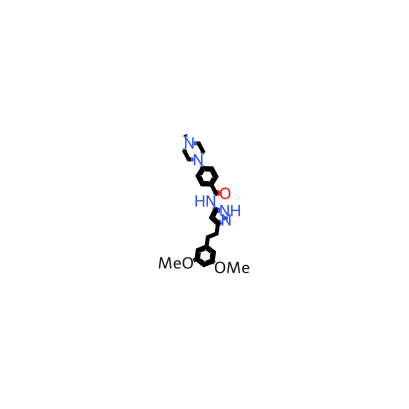 COc1cc(CCc2cc(NC(=O)c3ccc(N4CCN(C)CC4)cc3)[nH]n2)cc(OC)c1